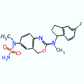 CN(C1=Nc2ccc(N(C)S(N)(=O)=O)cc2CO1)C1CCc2cc(F)ccc21